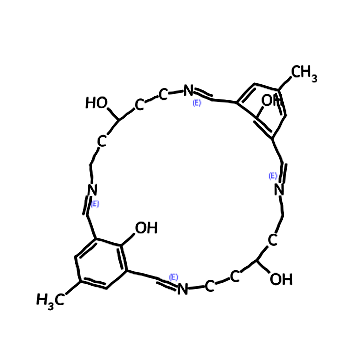 Cc1cc2c(O)c(c1)/C=N/CCC(O)CC/N=C/c1cc(C)cc(c1O)/C=N/CCC(O)CC/N=C/2